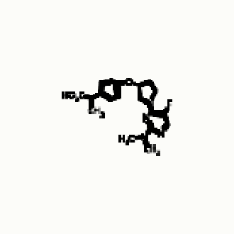 CC(C(=O)O)c1ccc(O[C@@H]2CCN(c3nc(N(C)C)ncc3F)C2)cc1